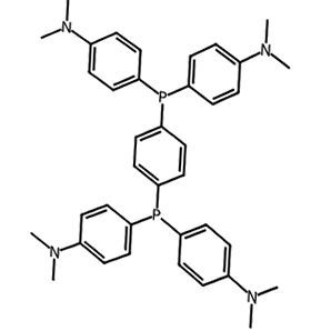 CN(C)c1ccc(P(c2ccc(N(C)C)cc2)c2ccc(P(c3ccc(N(C)C)cc3)c3ccc(N(C)C)cc3)cc2)cc1